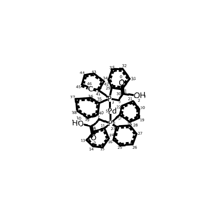 O=C(O)C[P]([Pd][P](CC(=O)O)(c1ccccc1)(c1ccccc1)c1ccccc1)(c1ccccc1)(c1ccccc1)c1ccccc1